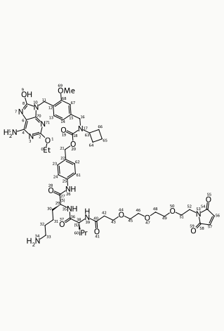 CCOc1nc(N)c2nc(O)n(Cc3ccc(CN(C(=O)OCc4ccc(NC(=O)[C@H](CCCCN)NC(=O)[C@@H](NC(=O)CCOCCOCCOCCN5C(=O)C=CC5=O)C(C)C)cc4)C4CCC4)cc3OC)c2n1